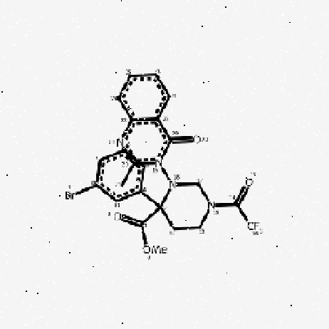 COC(=O)C1(c2cccc(Br)c2)CCN(C(=O)C(F)(F)F)CN1n1c(C)nc2ccccc2c1=O